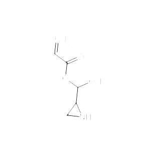 C=CC(=O)OC(O)C1CN1